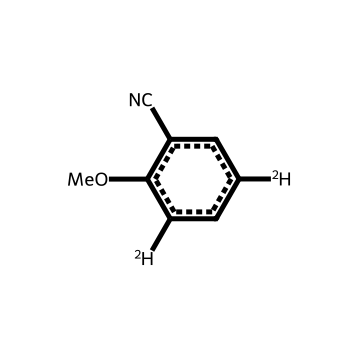 [2H]c1cc([2H])c(OC)c(C#N)c1